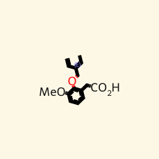 C=C/C(=C\C)COc1c(CC(=O)O)cccc1OC